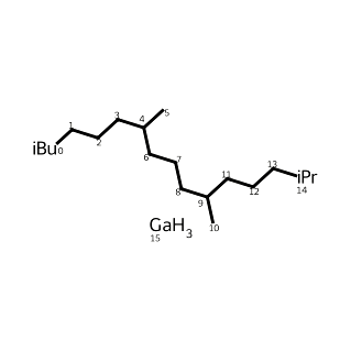 [CH2]CC(C)CCCC(C)CCCC(C)CCCC(C)C.[GaH3]